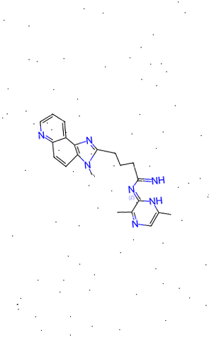 Cc1cnc(C)/c(=N/C(=N)CCCc2nc3c4cccnc4ccc3n2C)[nH]1